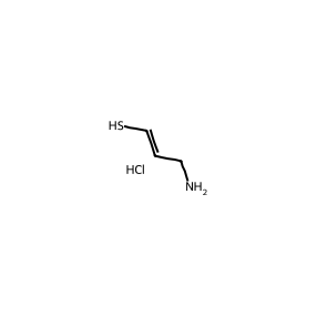 Cl.NCC=CS